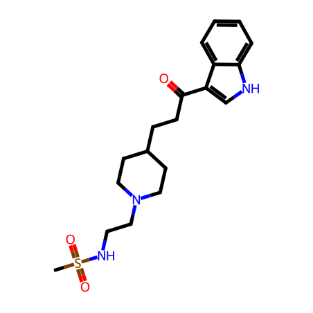 CS(=O)(=O)NCCN1CCC(CCC(=O)c2c[nH]c3ccccc23)CC1